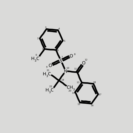 Cc1ccccc1S(=O)(=O)N(C(=O)c1ccccc1)C(C)(C)C